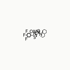 COc1c(-c2nc(C(=O)N3CCCC4CCCC=C43)cs2)cc(F)c(F)c1F